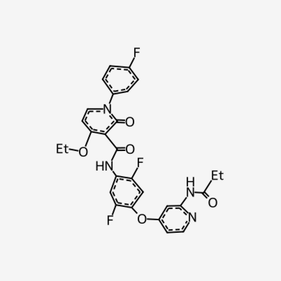 CCOc1ccn(-c2ccc(F)cc2)c(=O)c1C(=O)Nc1cc(F)c(Oc2ccnc(NC(=O)CC)c2)cc1F